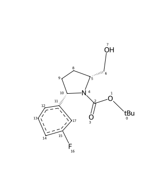 CC(C)(C)OC(=O)N1[C@@H](CO)CC[C@H]1c1cccc(F)c1